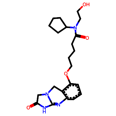 O=C1CN2Cc3c(cccc3OCCCCC(=O)N(CCO)C3CCCC3)N=C2N1